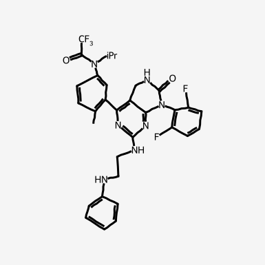 Cc1ccc(N(C(=O)C(F)(F)F)C(C)C)cc1-c1nc(NCCNc2ccccc2)nc2c1CNC(=O)N2c1c(F)cccc1F